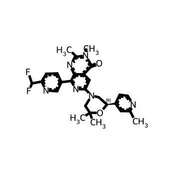 Cc1cc([C@@H]2CN(c3cc4c(=O)n(C)c(C)nc4c(-c4ccc(C(F)F)nc4)n3)CC(C)(C)O2)ccn1